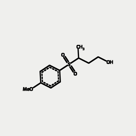 COc1ccc(S(=O)(=O)C(C)CCO)cc1